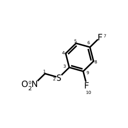 O=[N+]([O-])CSc1ccc(F)cc1F